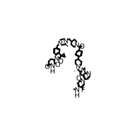 CNc1cc(=O)n(-c2ccnc3c2cc([C@H](C)N2CCC(c4ccc(C(=O)N5CCC(CN6CCN(Cc7ccc8c(c7)C7(CC7)C(=O)N8[C@H]7CCC(=O)NC7=O)C[C@@H]6C)CC5)cc4)CC2)n3C)cc1F